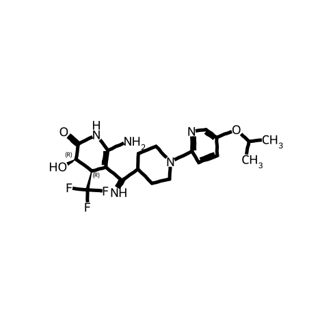 CC(C)Oc1ccc(N2CCC(C(=N)C3=C(N)NC(=O)[C@H](O)[C@@H]3C(F)(F)F)CC2)nc1